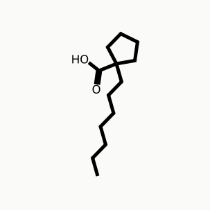 CCCCCCCC1(C(=O)O)CCCC1